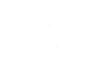 Cn1cc(C(=O)N2CC3(CCOCC3)C2)c2ccccc21